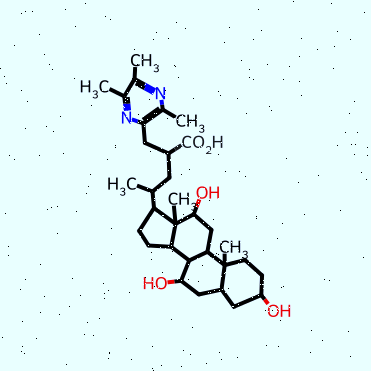 Cc1nc(C)c(CC(CC(C)C2CCC3C4C(O)CC5CC(O)CCC5(C)C4CC(O)C23C)C(=O)O)nc1C